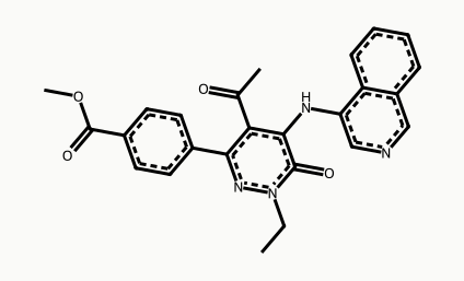 CCn1nc(-c2ccc(C(=O)OC)cc2)c(C(C)=O)c(Nc2cncc3ccccc23)c1=O